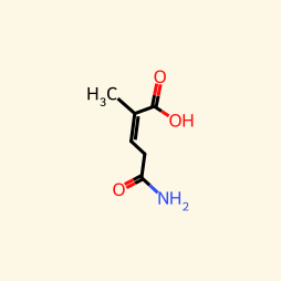 CC(=CCC(N)=O)C(=O)O